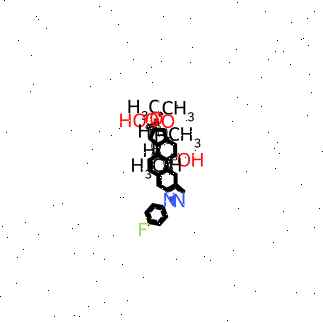 CC1(C)O[C@@H]2C[C@H]3[C@@H]4C=CC5=Cc6c(cnn6-c6ccc(F)cc6)C[C@]5(C)[C@H]4[C@@H](O)C[C@]3(C)[C@]2(C(=O)CO)O1